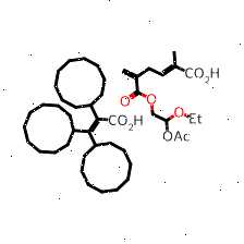 C=C(CC=C(C)C(=O)O)C(=O)OCC(OCC)OC(C)=O.O=C(O)C(=C(C1CCCCCCCCC1)C1CCCCCCCCC1)C1CCCCCCCCC1